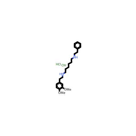 COc1ccc(CCNCCCCCCNCCc2ccccc2)cc1OC.Cl.Cl